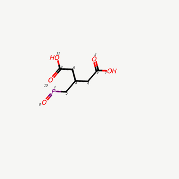 O=PCC(CC(=O)O)CC(=O)O